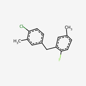 Cc1ccc(F)c(Cc2ccc(Cl)c(C)c2)c1